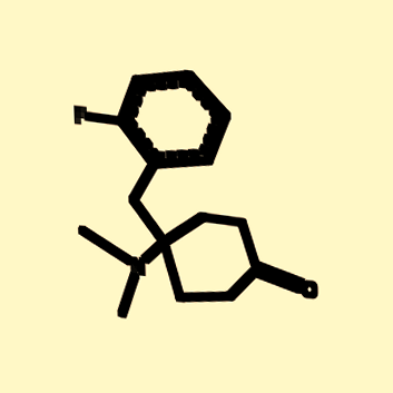 CN(C)C1(Cc2ccccc2F)CCC(=O)CC1